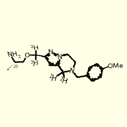 [2H]C([2H])(OC[C@H](C)N)c1cc2n(n1)CCN(Cc1ccc(OC)cc1)C2([2H])[2H]